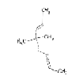 CC=CCC(C)(C)C=CC